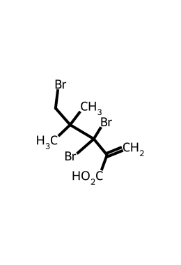 C=C(C(=O)O)C(Br)(Br)C(C)(C)CBr